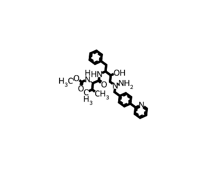 COC(=O)N[C@H](C(=O)NC(Cc1ccccc1)C(O)CN(N)Cc1ccc(-c2ccccn2)cc1)C(C)C